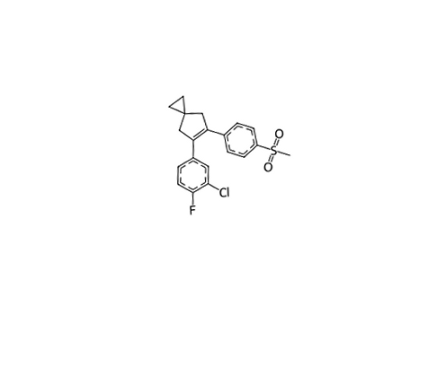 CS(=O)(=O)c1ccc(C2=C(c3ccc(F)c(Cl)c3)CC3(CC3)C2)cc1